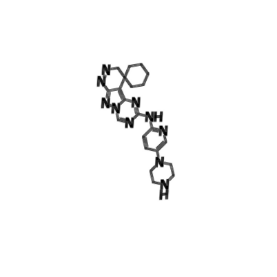 c1cc(Nc2ncn3nc4c(c3n2)C2(CCCCC2)CN=N4)ncc1N1CCNCC1